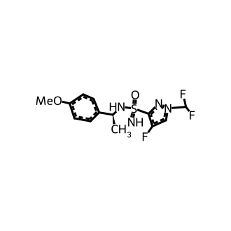 COc1ccc([C@H](C)NS(=N)(=O)c2nn(C(F)F)cc2F)cc1